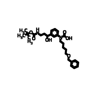 CC(C)(C)OC(=O)NCCC(O)c1cccc(N(CCCCCOCc2ccccc2)C(=O)O)c1